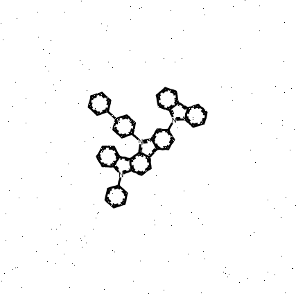 c1ccc(-c2ccc(-n3c4cc(-n5c6ccccc6c6ccccc65)ccc4c4ccc5c(c6ccccc6n5-c5ccccc5)c43)cc2)cc1